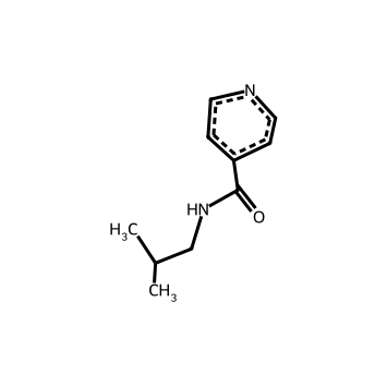 CC(C)CNC(=O)c1ccncc1